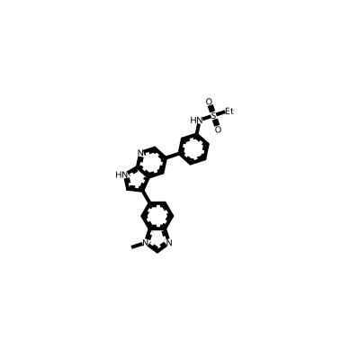 CCS(=O)(=O)Nc1cccc(-c2cnc3[nH]cc(-c4ccc5ncn(C)c5c4)c3c2)c1